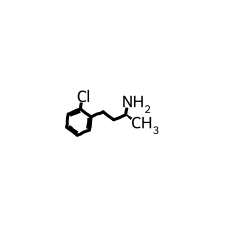 C[C@H](N)CCc1ccccc1Cl